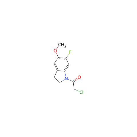 COc1cc2c(cc1F)N(C(=O)CCl)CC2